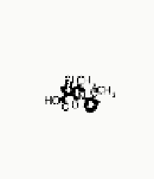 COc1ccccc1-n1cc(C)c2c(c(C(=O)O)cn2C)c1=O